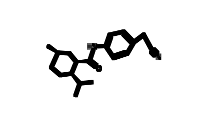 CC(C)[C@H]1CC[C@@H](C)C[C@H]1C(=O)Nc1ccc(CC#N)cc1